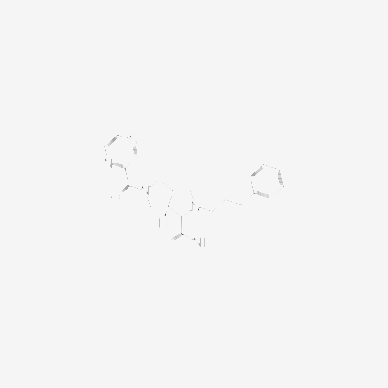 NC(=O)C1[C@@H]2CN(C(=O)c3cnccn3)CC2CN1CC[CH]c1ccccc1